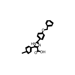 Cc1ccc(-c2[nH]c(-c3ccc(OCc4ccccc4)cc3)nc2C(=O)O)cc1